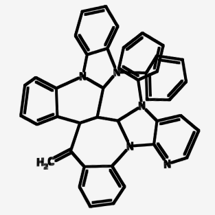 C=C1c2ccccc2N2c3ncccc3N(c3ccccc3)C2C2C1c1ccccc1N1c3ccccc3N(c3ccccc3)C21